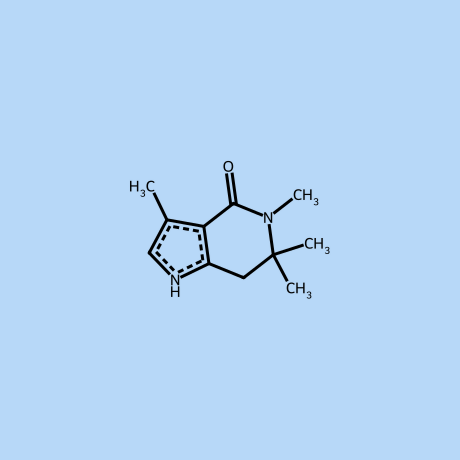 Cc1c[nH]c2c1C(=O)N(C)C(C)(C)C2